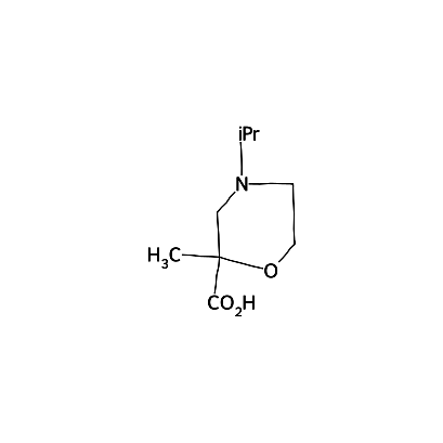 CC(C)N1CCOC(C)(C(=O)O)C1